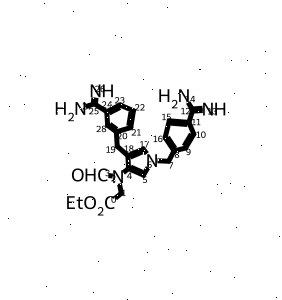 CCOC(=O)CN(C=O)c1cn(Cc2ccc(C(=N)N)cc2)cc1Cc1cccc(C(=N)N)c1